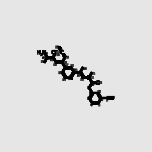 C#Cc1cccc(CC(=O)N(C)/C=C(\C)c2cc(/C(C=C=C)=C/C(=C(\C)N)C(F)(F)F)ccn2)c1